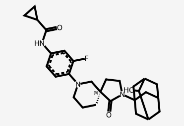 O=C(Nc1ccc(N2CCC[C@@]3(CCN(C45CC6CC(C4)C(O)C(C6)C5)C3=O)C2)c(F)c1)C1CC1